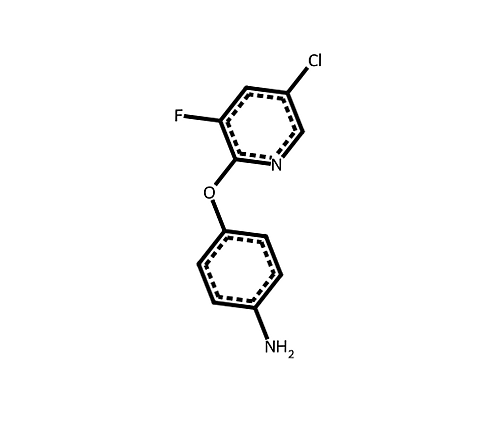 Nc1ccc(Oc2ncc(Cl)cc2F)cc1